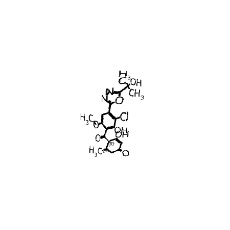 COc1cc(-c2nnc(C(C)(C)O)o2)c(Cl)c(O)c1C(=O)[C@H]1C(O)=CC(=O)C[C@H]1C